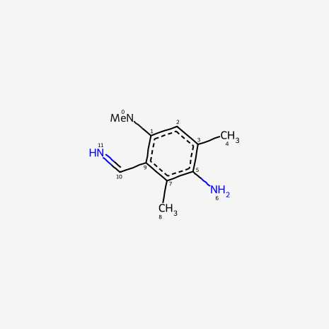 CNc1cc(C)c(N)c(C)c1C=N